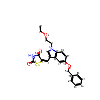 CCOCCn1cc(/C=C2/SC(=O)NC2=O)c2cc(OCc3ccccc3)ccc21